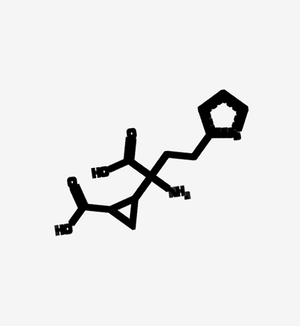 NC(CCc1cccs1)(C(=O)O)C1CC1C(=O)O